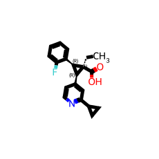 CC[C@@]1(C(=O)O)[C@H](c2ccccc2F)[C@@H]1c1ccnc(C2CC2)c1